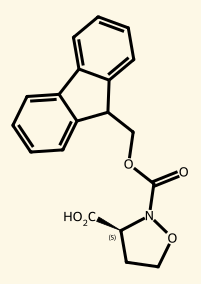 O=C(O)[C@@H]1CCON1C(=O)OCC1c2ccccc2-c2ccccc21